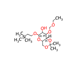 CCOCO[C@@H]1C(O)[C@H](OCC[Si](C)(C)C)OC2COC(C)(C)O[C@H]21